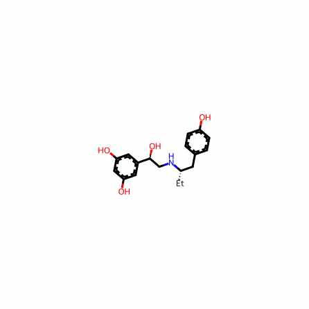 CC[C@@H](Cc1ccc(O)cc1)NC[C@H](O)c1cc(O)cc(O)c1